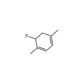 CC1=CC=C(C)C(F)C1